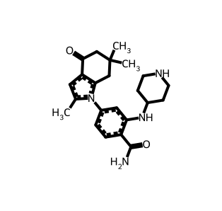 Cc1cc2c(n1-c1ccc(C(N)=O)c(NC3CCNCC3)c1)CC(C)(C)CC2=O